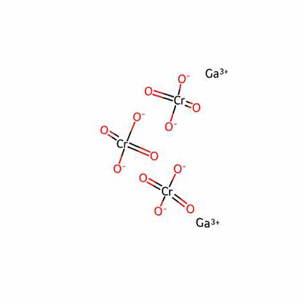 [Ga+3].[Ga+3].[O]=[Cr](=[O])([O-])[O-].[O]=[Cr](=[O])([O-])[O-].[O]=[Cr](=[O])([O-])[O-]